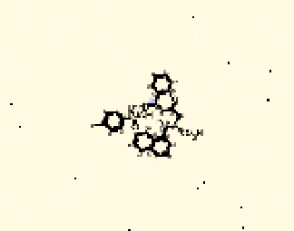 Cc1ccc(S(=O)(=O)N/N=C2\CC(CN(C(=O)O)[C@H](C)c3cccc4ccccc34)Oc3ccccc32)cc1